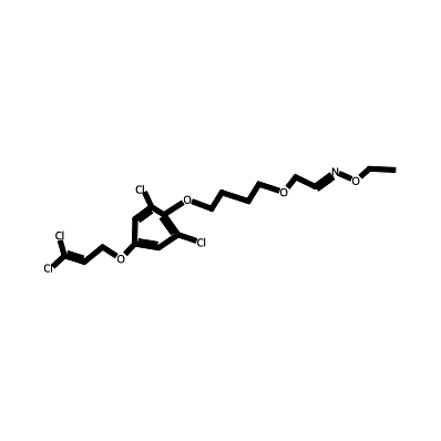 CCON=CCOCCCCOc1c(Cl)cc(OCC=C(Cl)Cl)cc1Cl